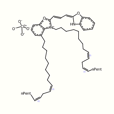 CCCCC/C=C\C/C=C\CCCCCCCCc1cccc2oc(C=CC=C3Nc4ccccc4O3)[n+](CCCCCCCC/C=C\C/C=C\CCCCC)c12.[O-][Cl+3]([O-])([O-])[O-]